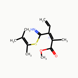 C=C/C(C(=N)SC(C)=C(C)C)=C(\C)C(=O)OC